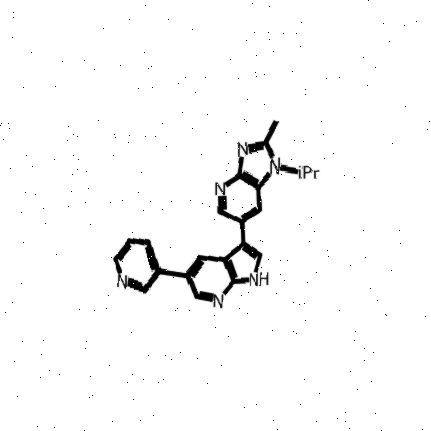 Cc1nc2ncc(-c3c[nH]c4ncc(-c5cccnc5)cc34)cc2n1C(C)C